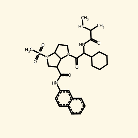 CNC(C)C(=O)NC(C(=O)N1CCC2C1C(C(=O)Nc1ccc3ccccc3c1)CN2S(C)(=O)=O)C1CCCCC1